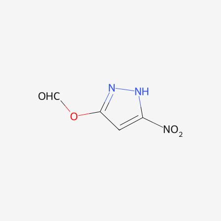 O=COc1cc([N+](=O)[O-])[nH]n1